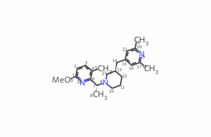 COc1ccc(C)c([C@@H](C)N2CCC[C@H](Cc3cc(C)nc(C)c3)C2)n1